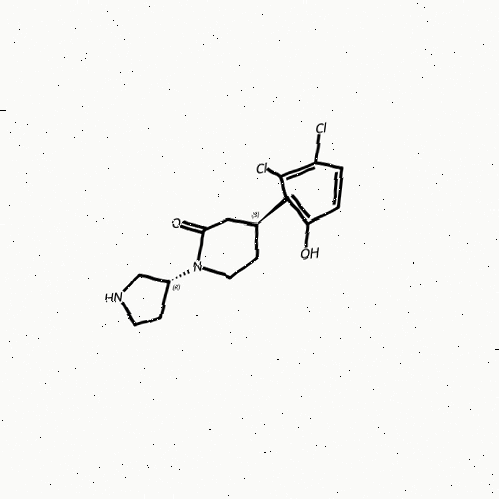 O=C1C[C@@H](c2c(O)ccc(Cl)c2Cl)CCN1[C@@H]1CCNC1